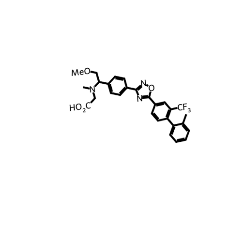 COCC(c1ccc(-c2noc(-c3ccc(-c4ccccc4C)c(C(F)(F)F)c3)n2)cc1)N(C)CC(=O)O